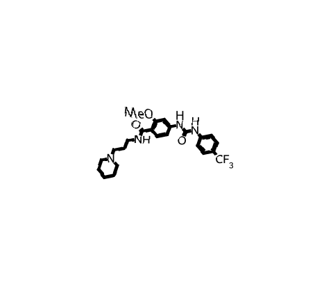 COc1cc(NC(=O)Nc2ccc(C(F)(F)F)cc2)ccc1C(=O)NCCCN1CCCCC1